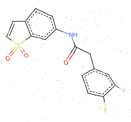 O=C(Cc1ccc(F)c(F)c1)Nc1ccc2c(c1)S(=O)(=O)C=C2